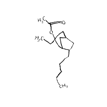 CCCCCC1CC2CC1C(CC)(OC(C)=O)C2